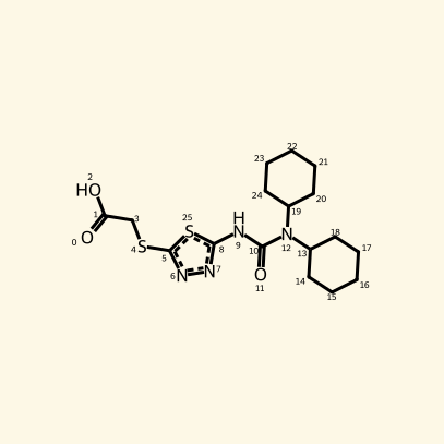 O=C(O)CSc1nnc(NC(=O)N(C2CCCCC2)C2CCCCC2)s1